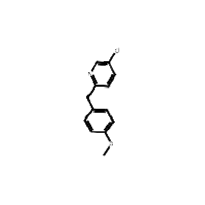 COc1ccc(Cc2ccc(Cl)cn2)cc1